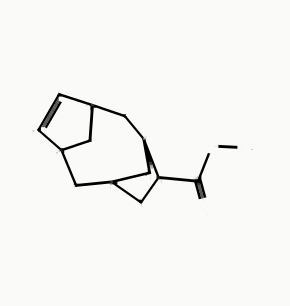 CC(C)(C)OC(=O)C1CC2[CH]C3C=CC(C3)CC1C2